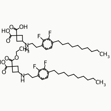 CCCCCCCCCCc1ccc(CCNC2CC(C(=O)O)(C(=O)O)C2)c(F)c1F.CCCCCCCCCCc1ccc(CCNC2CC(C(=O)O)(C(=O)OCC)C2)c(F)c1F